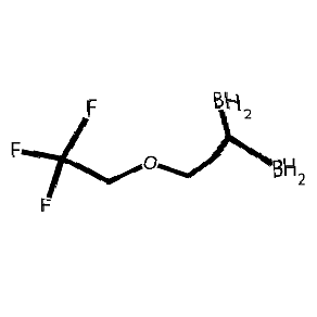 BC(B)COCC(F)(F)F